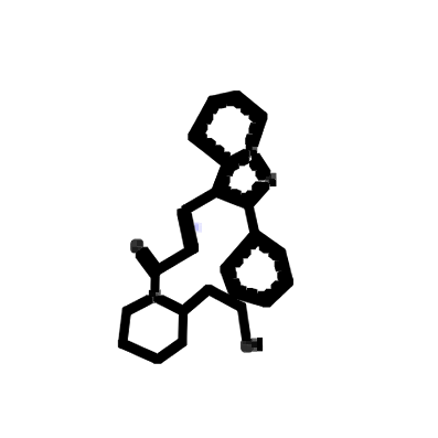 O=C(/C=C/c1c(-c2ccccc2)nn2ccccc12)N1CCCCC1CCO